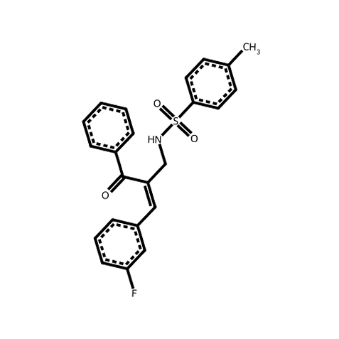 Cc1ccc(S(=O)(=O)NCC(=Cc2cccc(F)c2)C(=O)c2ccccc2)cc1